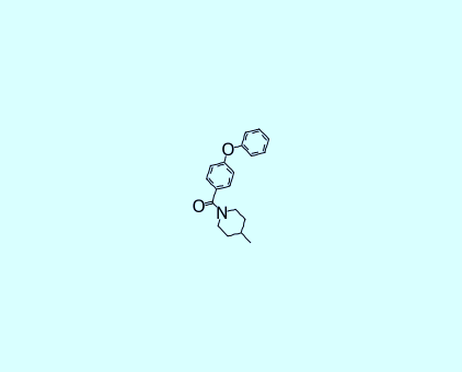 CC1CCN(C(=O)c2ccc(Oc3ccccc3)cc2)CC1